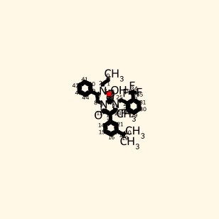 CCCN(C(=O)O)C(Cn1c(=O)c(-c2cccc(C(C)C)c2)c(C)n(Cc2c(F)cccc2C(F)(F)F)c1=O)c1ccccc1